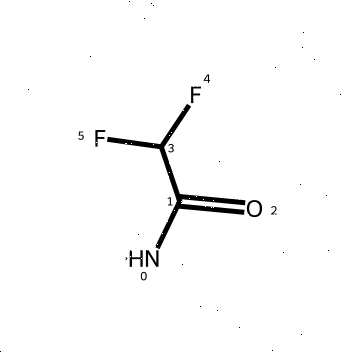 [NH]C(=O)C(F)F